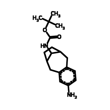 CC(C)(C)OC(=O)NC1C2CCC1Cc1cc(N)ccc1C2